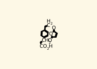 C=CC(=O)O.C=Cc1ccccc1.O=C1C=CC(=O)O1